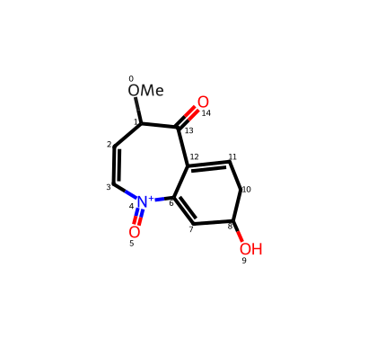 COC1C=C[N+](=O)C2=CC(O)CC=C2C1=O